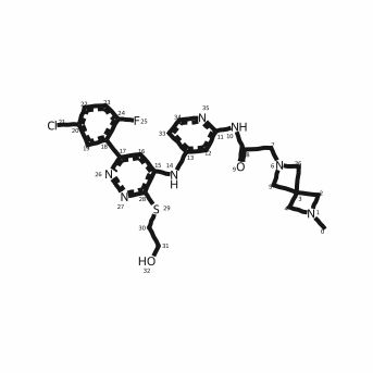 CN1CC2(C1)CN(CC(=O)Nc1cc(Nc3cc(-c4cc(Cl)ccc4F)nnc3SCCO)ccn1)C2